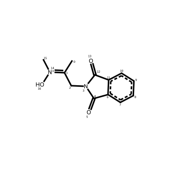 CC(CN1C(=O)c2ccccc2C1=O)=[N+](C)O